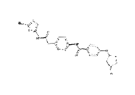 CC(C)N1CCC(Oc2ccc(C(=O)Nc3ccc(CC(=O)Nc4cc(C(C)(C)C)on4)cc3)nc2)C1